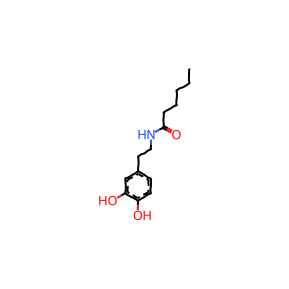 CCCCCC(=O)NCCc1ccc(O)c(O)c1